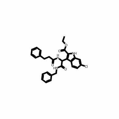 CCOC(=O)c1[nH]c2cc(Cl)ccc2c1C(NC(=O)CCc1ccccc1)C(=O)NCc1ccccc1